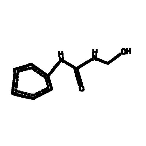 O=C(NCO)Nc1ccccc1